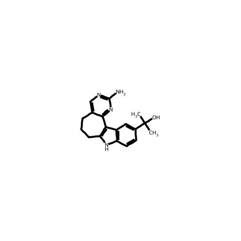 CC(C)(O)c1ccc2[nH]c3c(c2c1)-c1nc(N)ncc1CCC3